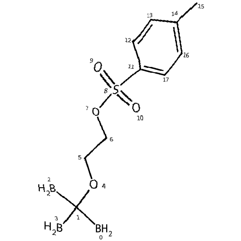 BC(B)(B)OCCOS(=O)(=O)c1ccc(C)cc1